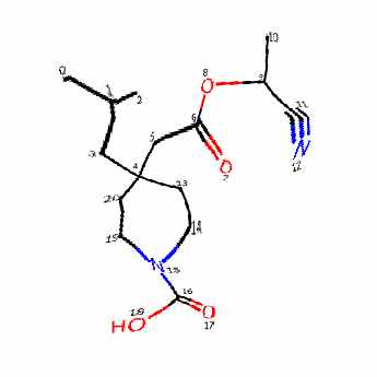 CC(C)CC1(CC(=O)OC(C)C#N)CCN(C(=O)O)CC1